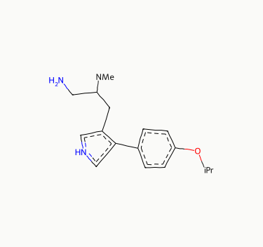 CNC(CN)Cc1c[nH]cc1-c1ccc(OC(C)C)cc1